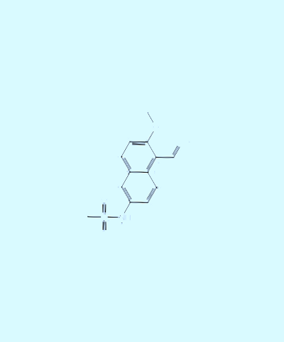 COc1ccc2cc(NS(C)(=O)=O)ccc2c1C=O